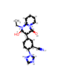 CC[n+]1c(O)c(-c2ccc(-n3cncn3)c(C#N)c2)c(=O)n2ccccc21